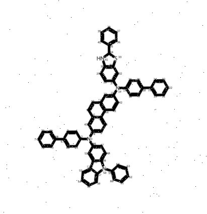 C1=CC(N(c2ccc3c(ccc4cc(N(c5ccc(-c6ccccc6)cc5)c5ccc6c(c5)SC(c5ccccc5)N6)ccc43)c2)c2ccc3c(c2)c2ccccc2n3-c2ccccc2)CC=C1c1ccccc1